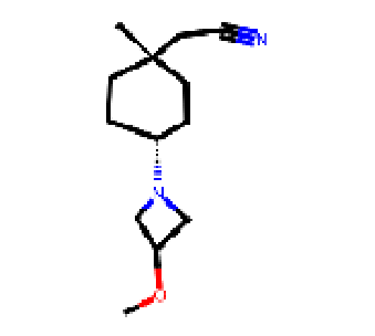 COC1CN([C@H]2CC[C@@](C)(CC#N)CC2)C1